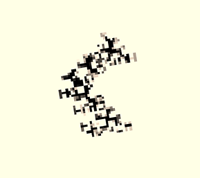 C=C(C)C(=O)O.C=C(C)C(=O)O.C=C(C)C(=O)O.CCC(CO)(CO)CO.OCC(CO)(CO)CO